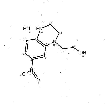 Cl.O=[N+]([O-])c1ccc2c(c1)N(CCO)CCN2